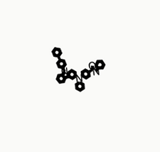 c1ccc(-c2ccc(-n3c4ccccc4c4cc(N(c5ccccc5)c5ccc(-c6nc7ccccc7o6)cc5)ccc43)cc2)cc1